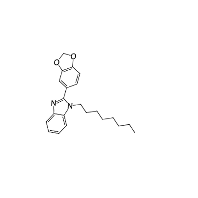 CCCCCCCCn1c(-c2ccc3c(c2)OCO3)nc2ccccc21